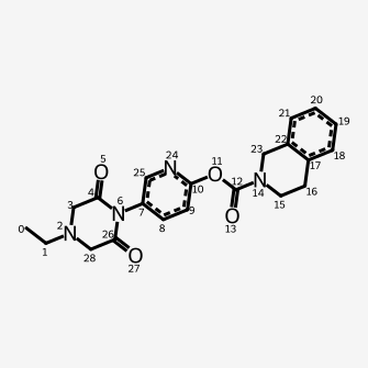 CCN1CC(=O)N(c2ccc(OC(=O)N3CCc4ccccc4C3)nc2)C(=O)C1